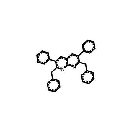 c1ccc(Cc2nc3nc(Cc4ccccc4)c(-c4ccccc4)cc3cc2-c2ccccc2)cc1